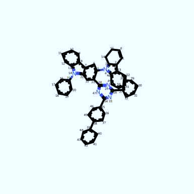 C1=Cc2c(n(-c3cc4c5ccccc5n(-c5ccccc5)c4cc3-c3nc(-c4ccccc4)nc(-c4ccc(-c5ccccc5)cc4)n3)c3ccccc23)CC1